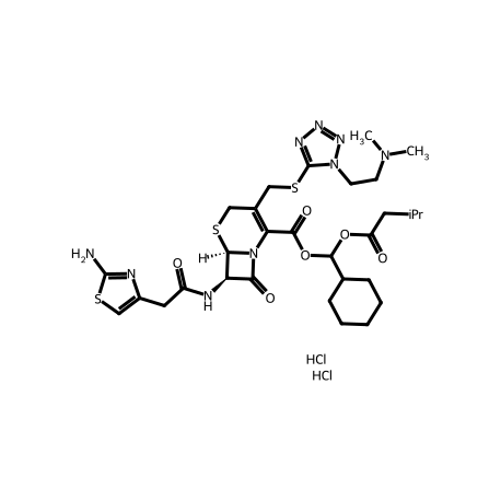 CC(C)CC(=O)OC(OC(=O)C1=C(CSc2nnnn2CCN(C)C)CS[C@@H]2[C@H](NC(=O)Cc3csc(N)n3)C(=O)N12)C1CCCCC1.Cl.Cl